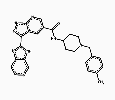 Cc1ccc(CN2CCC(NC(=O)c3cnc4[nH]nc(-c5nc6ccncc6[nH]5)c4c3)CC2)cc1